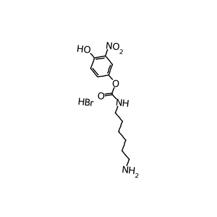 Br.NCCCCCCNC(=O)Oc1ccc(O)c([N+](=O)[O-])c1